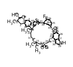 C[C@@H](Cc1cccc([C@@]2(C)CCCC(C)(C)CS(=O)(=O)CCc3c(c(F)cc4[nH]ccc34)[S+]([O-])c3ccc(F)c(c3)-c3nc2cs3)c1)C(=O)O